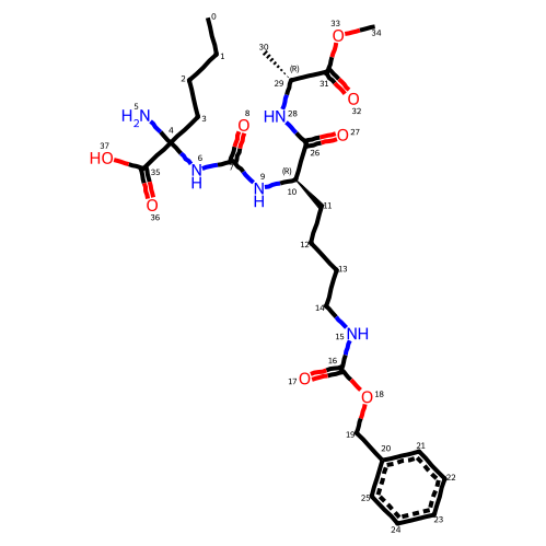 CCCCC(N)(NC(=O)N[C@H](CCCCNC(=O)OCc1ccccc1)C(=O)N[C@H](C)C(=O)OC)C(=O)O